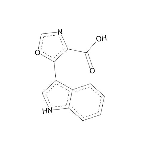 O=C(O)c1ncoc1-c1c[nH]c2ccccc12